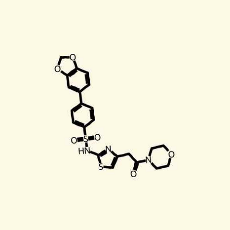 O=C(Cc1csc(NS(=O)(=O)c2ccc(-c3ccc4c(c3)OCO4)cc2)n1)N1CCOCC1